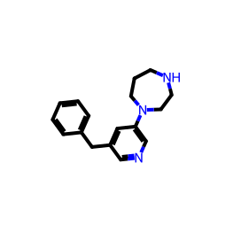 c1ccc(Cc2cncc(N3CCCNCC3)c2)cc1